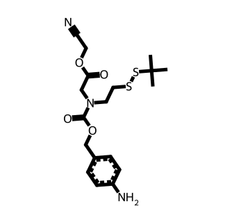 CC(C)(C)SSCCN(CC(=O)OCC#N)C(=O)OCc1ccc(N)cc1